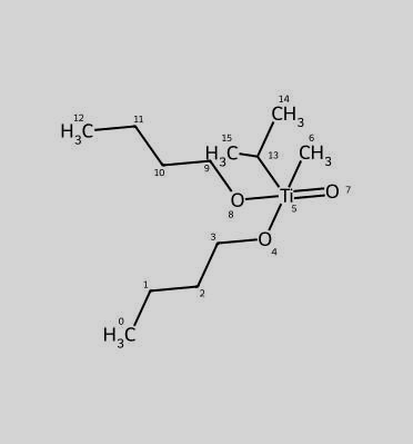 CCCC[O][Ti]([CH3])(=[O])([O]CCCC)[CH](C)C